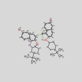 CC(C)(C)C1CCC(Oc2ccc3cc(Br)ccc3c2C(F)(F)F)CC1.CC(C)(C)C1CCC(Oc2ccc3cc(Br)ccc3c2I)CC1